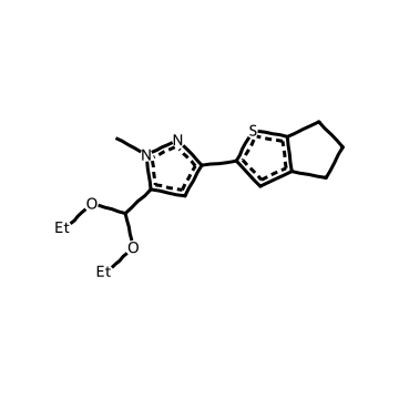 CCOC(OCC)c1cc(-c2cc3c(s2)CCC3)nn1C